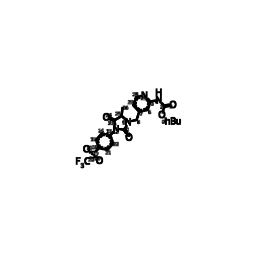 CCCCOC(=O)Nc1cc(CN2C(=O)N(c3ccc(S(=O)(=O)C(F)(F)F)cc3)C(=O)C2C)ccn1